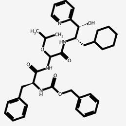 CC(C)OC(NC(=O)[C@H](Cc1ccccc1)NC(=O)OCc1ccccc1)C(=O)N[C@@H](CC1CCCCC1)[C@@H](O)c1ccccn1